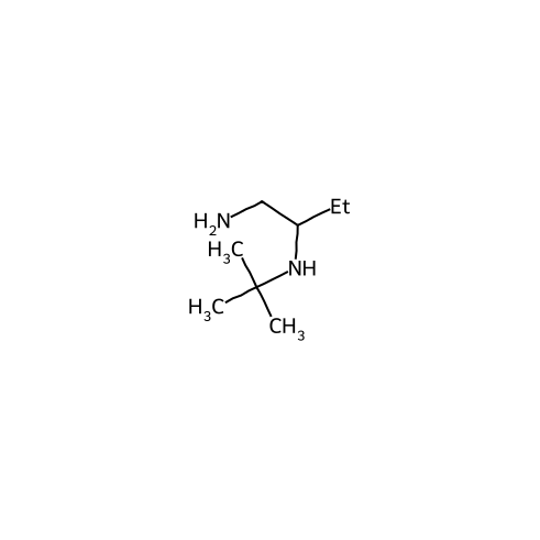 CCC(CN)NC(C)(C)C